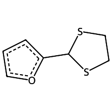 c1coc(C2SCCS2)c1